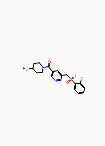 CC1CCN(C(=O)c2cncc(CS(=O)(=O)c3ccccc3Cl)c2)CC1